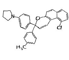 Cc1ccc(C2(c3ccc(N4CCCC4)cc3)C=Cc3c(ccc4cccc(Cl)c34)O2)cc1